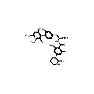 Cc1cc(CC(NC(=O)c2c(C)cc([C@H]3OCCNC3C(F)(F)F)cc2F)C(=O)O)ccc1-c1c(C(F)(F)F)cc(C)n(C)c1=O